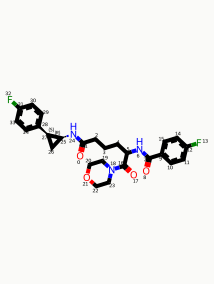 O=C(CCCC(NC(=O)c1ccc(F)cc1)C(=O)N1CCOCC1)N[C@@H]1C[C@H]1c1ccc(F)cc1